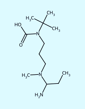 CCC(N)N(C)CCCN(C(=O)O)C(C)(C)C